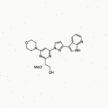 CO[C@@H](CO)c1nc(N2CCOCC2)cc(-n2ccc(-c3c[nH]c4ncccc34)n2)n1